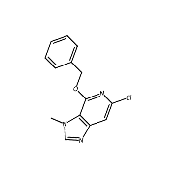 Cn1cnc2cc(Cl)nc(OCc3ccccc3)c21